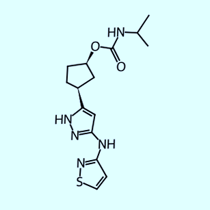 CC(C)NC(=O)O[C@@H]1CC[C@H](c2cc(Nc3ccsn3)n[nH]2)C1